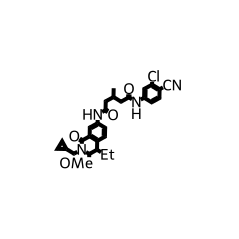 CCC1c2ccc(NC(=O)CC(C)CC(=O)Nc3ccc(C#N)c(Cl)c3)cc2C(=O)N(CC2CC2)C1OC